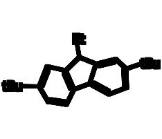 [CH2]CC1c2cc(C(C)(C)C)ccc2-c2ccc(C(C)(C)C)cc21